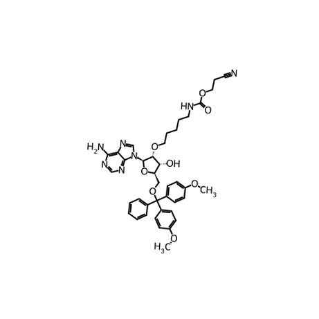 COc1ccc(C(OC[C@H]2O[C@@H](n3cnc4c(N)ncnc43)[C@H](OCCCCCNC(=O)OCCC#N)[C@@H]2O)(c2ccccc2)c2ccc(OC)cc2)cc1